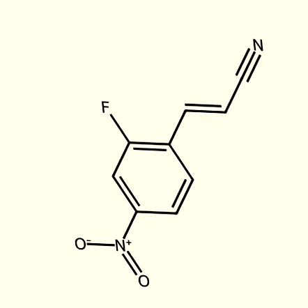 N#CC=Cc1ccc([N+](=O)[O-])cc1F